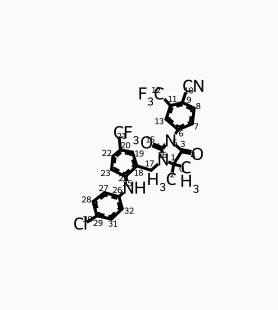 CC1(C)C(=O)N(c2ccc(C#N)c(C(F)(F)F)c2)C(=O)N1Cc1cc(C(F)(F)F)ccc1Nc1ccc(Cl)cc1